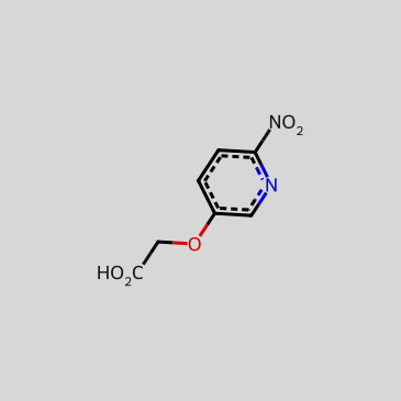 O=C(O)COc1ccc([N+](=O)[O-])nc1